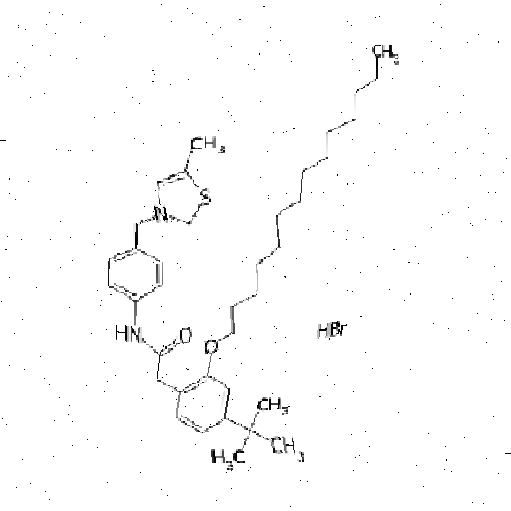 Br.CCCCCCCCCCCCCCOc1cc(C(C)(C)C)ccc1CC(=O)Nc1ccc(CN2C=C(C)SC2)cc1